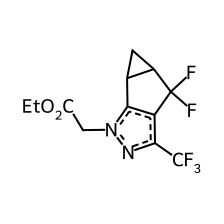 CCOC(=O)Cn1nc(C(F)(F)F)c2c1C1CC1C2(F)F